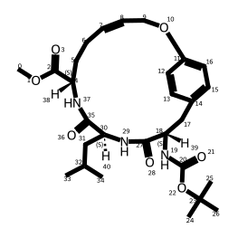 COC(=O)[C@@H]1CCC=CCOc2ccc(cc2)C[C@H](NC(=O)OC(C)(C)C)C(=O)N[C@@H](CC(C)C)C(=O)N1